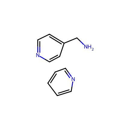 NCc1ccncc1.c1ccncc1